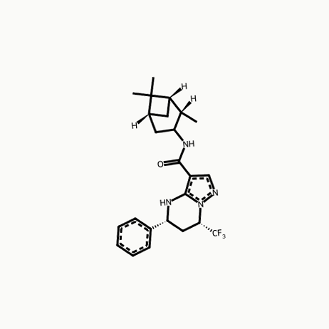 C[C@@H]1C(NC(=O)c2cnn3c2N[C@@H](c2ccccc2)C[C@H]3C(F)(F)F)C[C@H]2C[C@@H]1C2(C)C